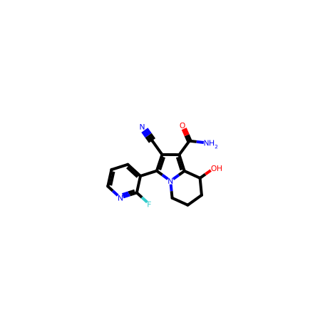 N#Cc1c(C(N)=O)c2n(c1-c1cccnc1F)CCCC2O